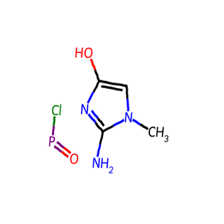 Cn1cc(O)nc1N.O=PCl